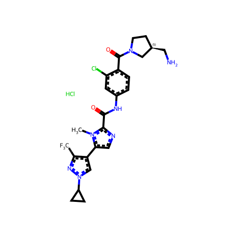 Cl.Cn1c(-c2cn(C3CC3)nc2C(F)(F)F)cnc1C(=O)Nc1ccc(C(=O)N2CC[C@@H](CN)C2)c(Cl)c1